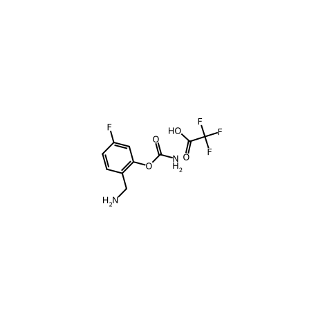 NCc1ccc(F)cc1OC(N)=O.O=C(O)C(F)(F)F